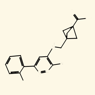 Nc1nnc(-c2ccccc2O)cc1NCC12CC(C(=O)O)(C1)C2